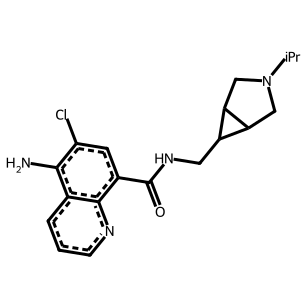 CC(C)N1CC2C(CNC(=O)c3cc(Cl)c(N)c4cccnc34)C2C1